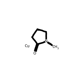 CN1CCCC1=O.[Cu]